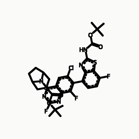 CC(C)(C)OC(=O)Nc1nc2c(-c3c(Cl)cc4c(N5C6CCC5CN(C(=O)OC(C)(C)C)C6)nc(F)nc4c3F)ccc(F)c2s1